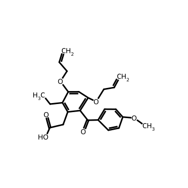 C=CCOc1cc(OCC=C)c(C(=O)c2ccc(OC)cc2)c(CC(=O)O)c1CC